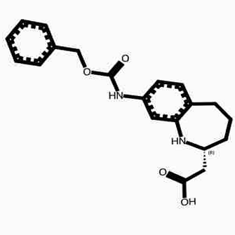 O=C(O)C[C@H]1CCCc2ccc(NC(=O)OCc3ccccc3)cc2N1